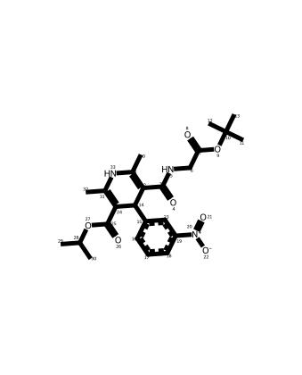 CC1=C(C(=O)NCC(=O)OC(C)(C)C)C(c2cccc([N+](=O)[O-])c2)C(C(=O)OC(C)C)=C(C)N1